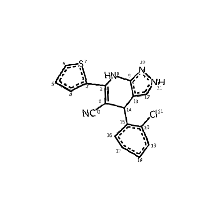 N#CC1=C(c2cccs2)Nc2n[nH]cc2C1c1ccccc1Cl